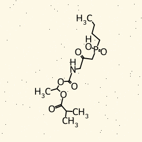 CCCCP(=O)(O)CC(=O)CNC(=O)OC(C)OC(=O)C(C)C